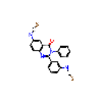 O=c1c2cc(N=C=S)ccc2nc(-c2cccc(N=C=S)c2)n1-c1ccccc1